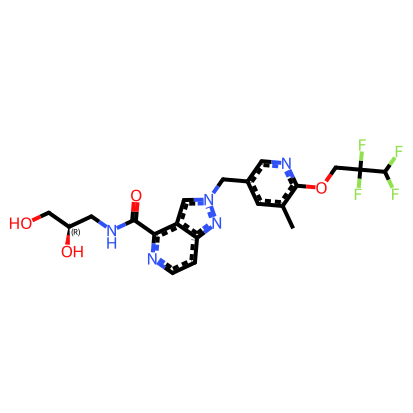 Cc1cc(Cn2cc3c(C(=O)NC[C@@H](O)CO)nccc3n2)cnc1OCC(F)(F)C(F)F